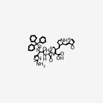 Nc1nc(/C(=N/OC(c2ccccc2)(c2ccccc2)c2ccccc2)C(=O)N[C@@H]2C(=O)N3C(C(=O)O)=C(/C=C4\CCNC4/C=C4\SC=CC4=O)CS[C@H]23)cs1